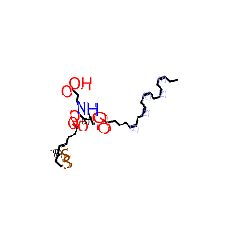 CC/C=C\C/C=C\C/C=C\C/C=C\C/C=C\CCCC(=O)OC(C)(C)[C@H](OC(=O)CCCC[C@]1(C)CCSS1)C(=O)NCCC(=O)O